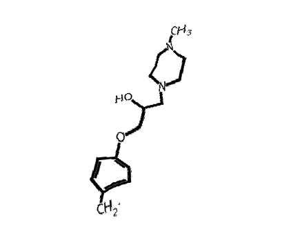 [CH2]c1ccc(OCC(O)CN2CCN(C)CC2)cc1